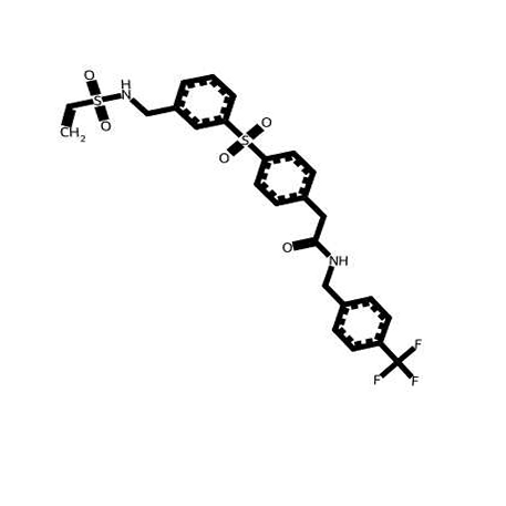 C=CS(=O)(=O)NCc1cccc(S(=O)(=O)c2ccc(CC(=O)NCc3ccc(C(F)(F)F)cc3)cc2)c1